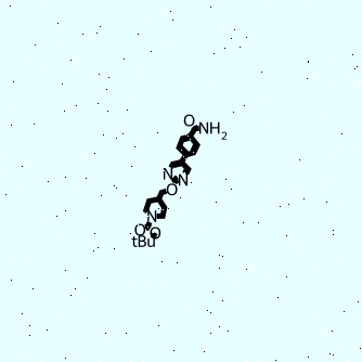 CC(C)(C)OC(=O)N1CCC(COc2ncc(-c3ccc(C(N)=O)cc3)cn2)CC1